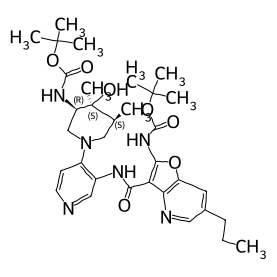 CCCc1cnc2c(C(=O)Nc3cnccc3N3C[C@H](C)[C@](C)(O)[C@H](NC(=O)OC(C)(C)C)C3)c(NC(=O)OC(C)(C)C)oc2c1